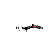 C=CCCOc1ccc(C2CCC(c3ccc(-c4ccc(OCCCC)cc4)c(F)c3F)CC2)c(F)c1